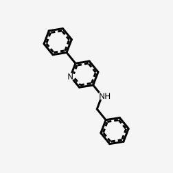 c1ccc(CNc2ccc(-c3ccccc3)nc2)cc1